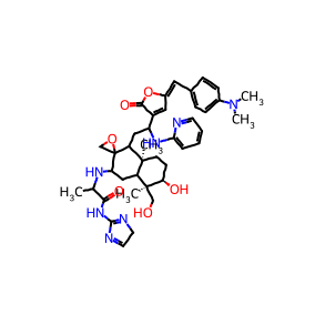 CC(NC1CC2[C@](C)(CC[C@@H](O)[C@@]2(C)CO)C(CC(Nc2ccccn2)C2=C/C(=C\c3ccc(N(C)C)cc3)OC2=O)C12CO2)C(=O)NC1=NCC=N1